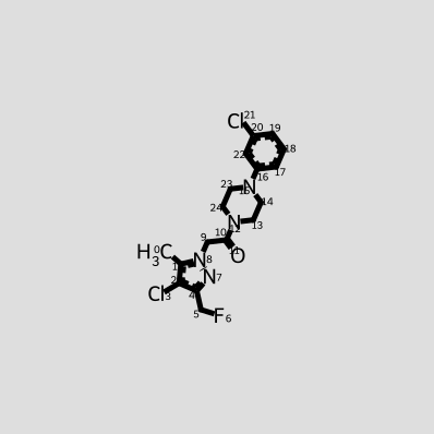 Cc1c(Cl)c(CF)nn1CC(=O)N1CCN(c2cccc(Cl)c2)CC1